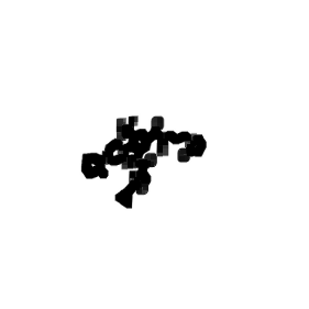 Cc1ccccc1N1CCN(c2c(NC(=O)c3coc(C4CC4)n3)cc(C(=O)NCCCN3CCCC3=O)cc2C(F)(F)F)CC1